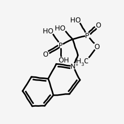 COP(=O)(O)C(O)(C[n+]1ccc2ccccc2c1)P(=O)(O)O